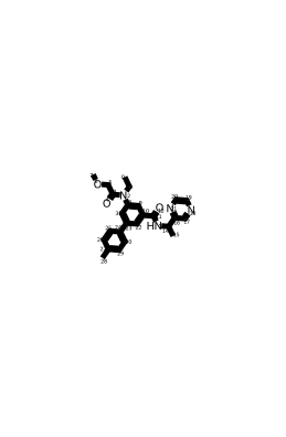 CCN(C(=O)COC)c1cc(C(=O)NC(C)c2cnccn2)cc(-c2ccc(C)cc2)c1